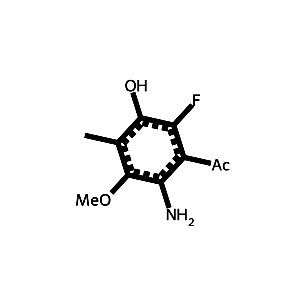 COc1c(C)c(O)c(F)c(C(C)=O)c1N